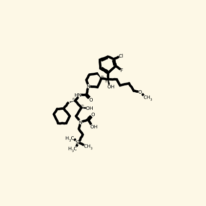 COCCCC[C@@](O)(c1cccc(Cl)c1F)[C@@H]1CCCN(C(=O)N[C@@H](CC2CCCCC2)[C@@H](O)CN(CC[Si](C)(C)C)C(=O)O)C1